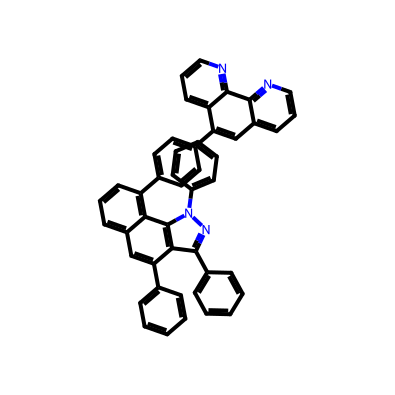 c1ccc(-c2cc3cccc(-c4ccc(-c5cc6cccnc6c6ncccc56)cc4)c3c3c2c(-c2ccccc2)nn3-c2ccccc2)cc1